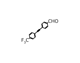 O=Cc1ccc(C#Cc2ccc(C(F)(F)F)cc2)cc1